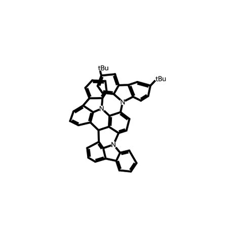 CC(C)(C)c1ccc2c(c1)c1cc(C(C)(C)C)ccc1n2-c1ccc2c3c1-n1c4ccccc4c4cccc(c41)C3c1cccc3c4ccccc4n-2c13